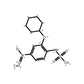 CS(=O)(=O)Nc1ccc([N+](=O)[O-])cc1OC1CCCCC1.[CaH2]